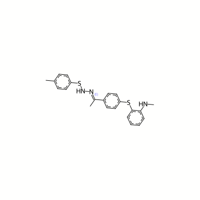 CNc1ccccc1Sc1ccc(/C(C)=N/NSc2ccc(C)cc2)cc1